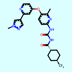 Cc1nc(NC(=O)NC(=O)[C@H]2CC[C@H](C(F)(F)F)CC2)ccc1Oc1ccnc(-c2cnn(C)c2)c1